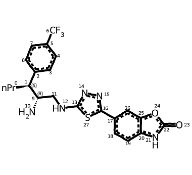 CCC[C@@H](c1ccc(C(F)(F)F)cc1)[C@@H](N)CNc1nnc(-c2ccc3[nH]c(=O)oc3c2)s1